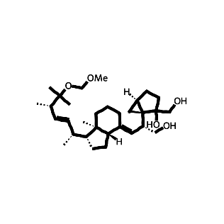 COCOC(C)(C)[C@@H](C)/C=C/[C@@H](C)[C@H]1CC[C@H]2/C(=C/[C@@H](CO)[C@]34C[C@H]3CCC4(O)CO)CCC[C@]12C